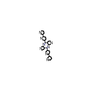 c1cncc(-c2ccc(/C3=N/c4cnccc4/C(c4ccc(-c5cccnc5)nc4)=N\c4cnccc43)cn2)c1